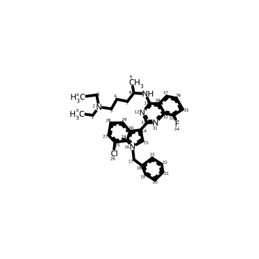 CCN(CC)CCCC(C)Nc1nc(-c2cn(Cc3ccccc3)c3c(Cl)cccc23)nc2c(F)cccc12